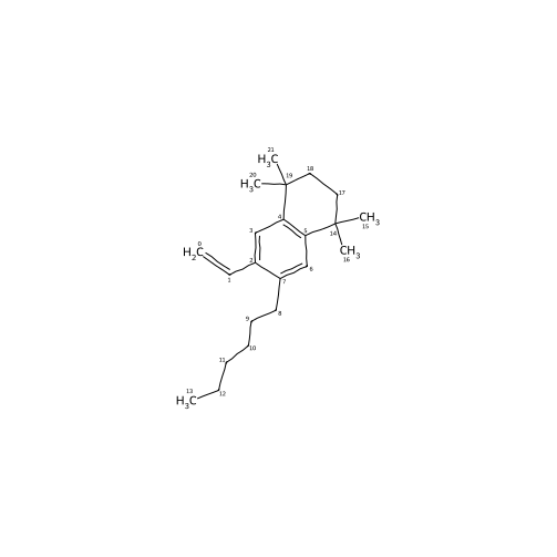 C=Cc1cc2c(cc1CCCCCC)C(C)(C)CCC2(C)C